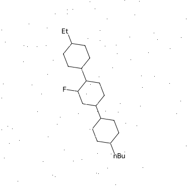 CCCCC1CCC(C2CCC(C3CCC(CC)CC3)C(F)C2)CC1